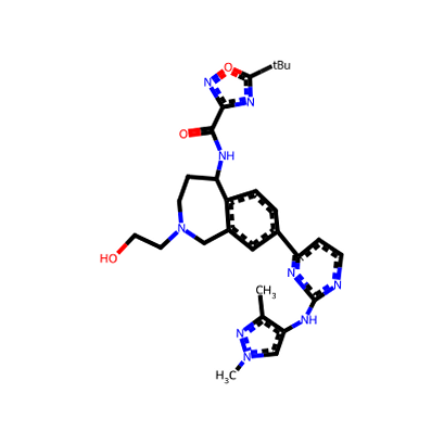 Cc1nn(C)cc1Nc1nccc(-c2ccc3c(c2)CN(CCO)CCC3NC(=O)c2noc(C(C)(C)C)n2)n1